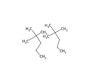 CCCC(C)(C)C.CCCC(C)(C)C